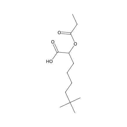 CCC(=O)OC(CCCCC(C)(C)C)C(=O)O